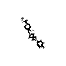 CC(C)(C)OC(=O)N1CCC(O)(CN2CC3(C2)CN(c2ccc(Br)cc2)C3)CC1